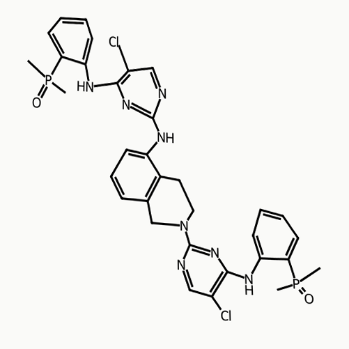 CP(C)(=O)c1ccccc1Nc1nc(Nc2cccc3c2CCN(c2ncc(Cl)c(Nc4ccccc4P(C)(C)=O)n2)C3)ncc1Cl